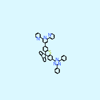 c1ccc(-c2nc(-c3ccccc3)nc(-c3ccc4c(c3)Sc3cc(-c5cc(-c6ccccn6)nc(-c6ccccn6)c5)ccc3C43c4ccccc4-c4ccccc43)n2)cc1